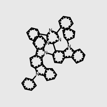 c1ccc(-c2nc(-c3ccccc3)nc(-c3c(-n4c5ccccc5c5ccc6c(c7ccccc7n6-c6ccccc6)c54)ccc4c5ccccc5n(-c5ccccc5)c34)n2)cc1